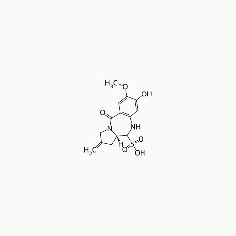 C=C1C[C@H]2C(S(=O)(=O)O)Nc3cc(O)c(OC)cc3C(=O)N2C1